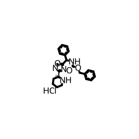 Cl.O=C(NC(c1ccccc1)c1nc([C@@H]2CCCCN2)no1)OCc1ccccc1